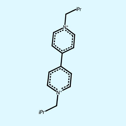 CC(C)C[n+]1ccc(-c2cc[n+](CC(C)C)cc2)cc1